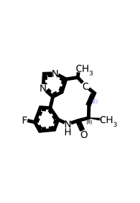 CC1C/C=C/[C@@H](C)C(=O)Nc2ccc(F)cc2-c2cc1ncn2